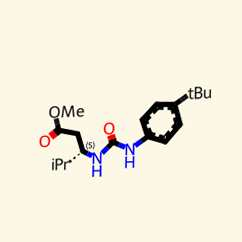 COC(=O)C[C@H](NC(=O)Nc1ccc(C(C)(C)C)cc1)C(C)C